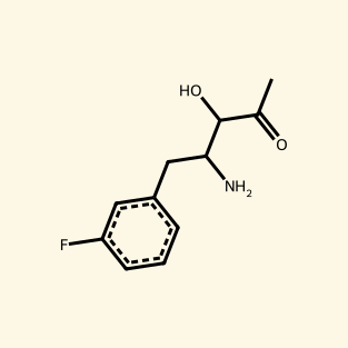 CC(=O)C(O)C(N)Cc1cccc(F)c1